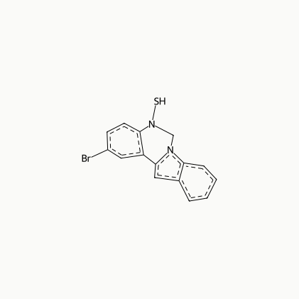 SN1Cn2c(cc3ccccc32)-c2cc(Br)ccc21